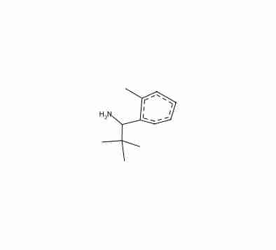 Cc1ccccc1C(N)C(C)(C)C